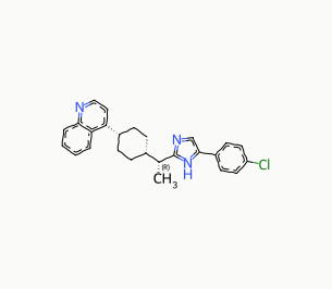 C[C@@H](c1ncc(-c2ccc(Cl)cc2)[nH]1)[C@H]1CC[C@@H](c2ccnc3ccccc32)CC1